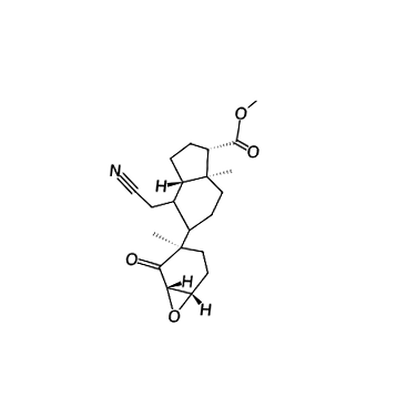 COC(=O)[C@H]1CC[C@H]2C(CC#N)C([C@@]3(C)CC[C@@H]4O[C@@H]4C3=O)CC[C@]12C